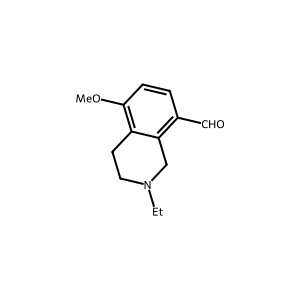 CCN1CCc2c(OC)ccc(C=O)c2C1